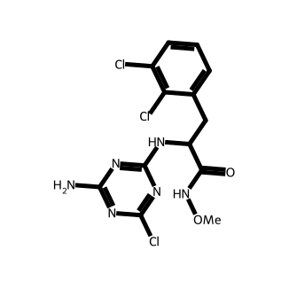 CONC(=O)C(Cc1cccc(Cl)c1Cl)Nc1nc(N)nc(Cl)n1